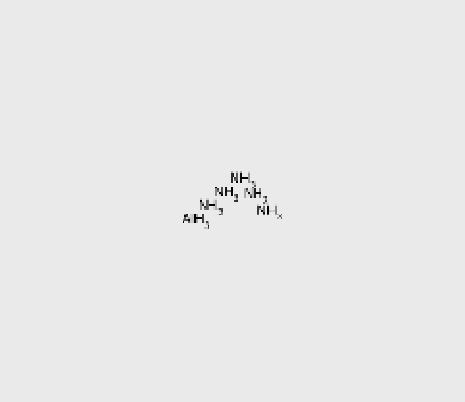 N.N.N.N.N.[AlH3]